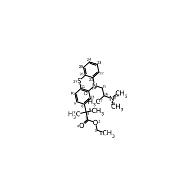 CCOC(=O)C(C)(C)c1ccc2c(c1)N(CC(C)N(C)C)c1ccccc1S2